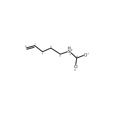 C=CCCC[SiH2]C(Cl)Cl